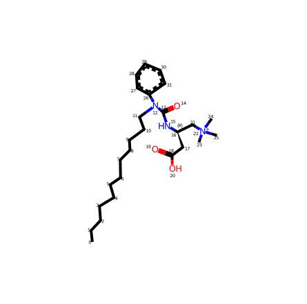 CCCCCCCCCCCCN(C(=O)N[C@H](CC(=O)O)C[N+](C)(C)C)c1ccccc1